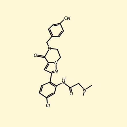 CN(C)CC(=O)Nc1cc(Cl)ccc1-c1cc2n(n1)CCN(Cc1ccc(C#N)cc1)C2=O